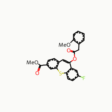 COC(=O)c1ccc2c(c1)Sc1ccc(F)cc1C(OC(=O)Cc1ccccc1OC)=C2